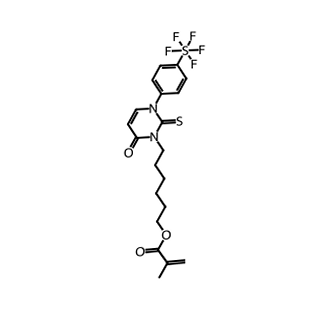 C=C(C)C(=O)OCCCCCCn1c(=O)ccn(-c2ccc(S(F)(F)(F)(F)F)cc2)c1=S